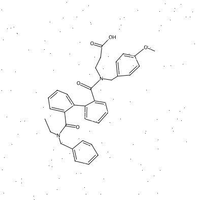 CCN(Cc1ccccc1)C(=O)c1ccccc1-c1ccccc1C(=O)N(CCC(=O)O)Cc1ccc(OC)cc1